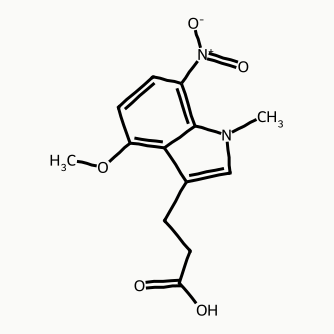 COc1ccc([N+](=O)[O-])c2c1c(CCC(=O)O)cn2C